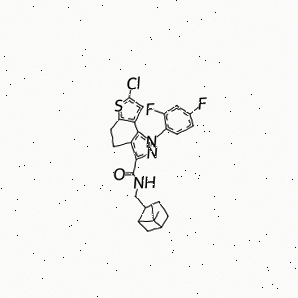 CC1(C)C2CCC(CNC(=O)c3nn(-c4ccc(F)cc4F)c4c3CCc3sc(Cl)cc3-4)C1C2